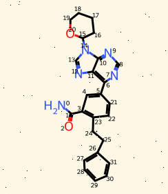 NC(=O)c1cc(-c2ncnc3c2ncn3C2CCCCO2)ccc1[CH]Cc1ccccc1